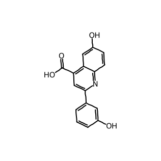 O=C(O)c1cc(-c2cccc(O)c2)nc2ccc(O)cc12